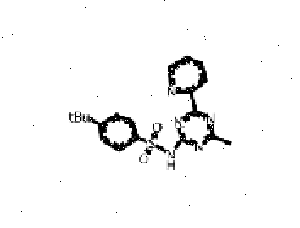 Cc1nc(NS(=O)(=O)c2ccc(C(C)(C)C)cc2)nc(-c2ccccn2)n1